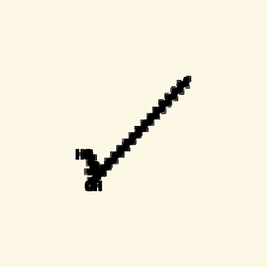 CCCCCCCCCCCCCCCCCCCCCCCCCCCCCCN(CCO)C(C)OCCO